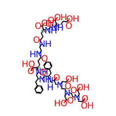 O=C(O)CC[C@H](NC(=O)N[C@@H](CCC(=O)NCCNC(=O)CC[C@@H](NCC(Cc1ccccc1)NC(=O)C(Cc1ccccc1)NC(=O)CN(CCN(CCN(CC(=O)O)CC(=O)O)CC(=O)O)CC(=O)O)C(=O)O)C(=O)O)C(=O)O